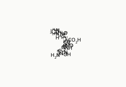 Nc1nc(C(=NO)C(=O)N[C@@H]2C(=O)N3C(C(=O)O)=C(C=C4CCN(Cc5nc6ccccc6[nH]5)C4=O)CS[C@H]23)cs1